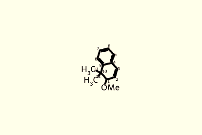 COC1C=Cc2ccccc2C1(C)C